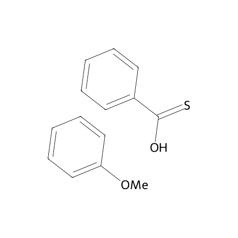 COc1ccccc1.OC(=S)c1ccccc1